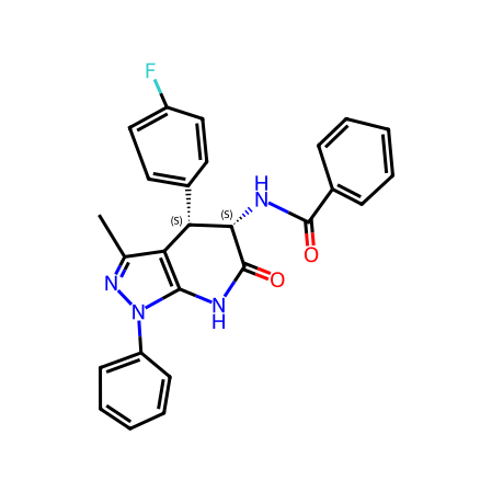 Cc1nn(-c2ccccc2)c2c1[C@H](c1ccc(F)cc1)[C@H](NC(=O)c1ccccc1)C(=O)N2